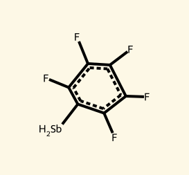 Fc1c(F)c(F)[c]([SbH2])c(F)c1F